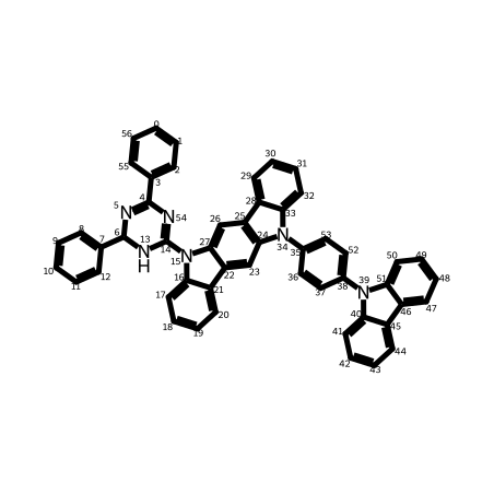 c1ccc(C2=NC(c3ccccc3)NC(n3c4ccccc4c4cc5c(cc43)c3ccccc3n5-c3ccc(-n4c5ccccc5c5ccccc54)cc3)=N2)cc1